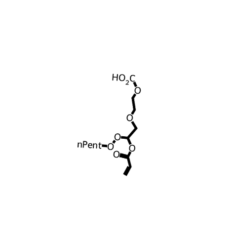 C=CC(=O)OC(COCCOC(=O)O)OOCCCCC